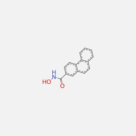 O=C(NO)c1ccc2c(ccc3ccccc32)c1